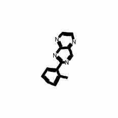 Cc1ccccc1-c1ncc2nccnc2n1